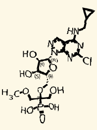 COC[C@](CO)(OC[C@H]1O[C@@H](n2ncc3c(NCC4CC4)nc(Cl)nc32)[C@H](O)[C@@H]1O)P(=O)(O)O